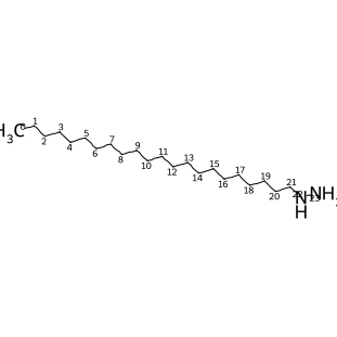 CCCCCCCCCCCCCCCCCCCCCCNN